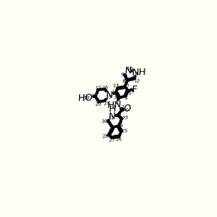 O=C(Nc1cc(F)c(-c2cn[nH]c2)cc1N1CCC(O)CC1)C1Cc2ccccc2CN1